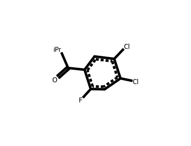 CC(C)C(=O)c1cc(Cl)c(Cl)cc1F